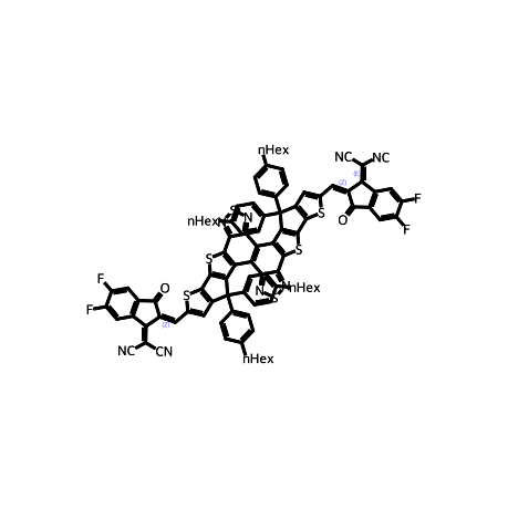 [C-]#[N+]/C(C#N)=C1/C(=C/c2cc3c(s2)-c2sc4c5nsnc5c5c6c7c(sc6c6nsnc6c5c4c2C3(c2ccc(CCCCCC)cc2)c2ccc(CCCCCC)cc2)-c2sc(/C=C3\C(=O)c4cc(F)c(F)cc4C3=C(C#N)C#N)cc2C7(c2ccc(CCCCCC)cc2)c2ccc(CCCCCC)cc2)C(=O)c2cc(F)c(F)cc21